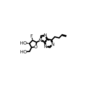 C=CCCc1ncnc2c1ncn2C1OC(CO)[C@@H](O)[C@H]1F